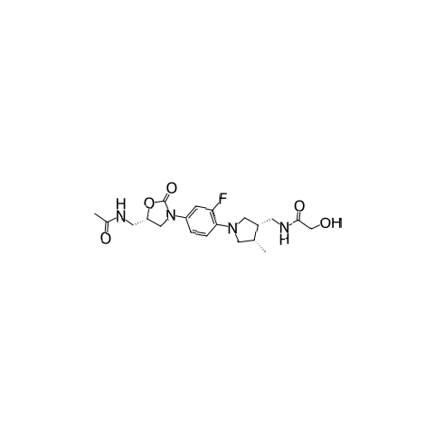 CC(=O)NC[C@H]1CN(c2ccc(N3C[C@H](CNC(=O)CO)[C@H](C)C3)c(F)c2)C(=O)O1